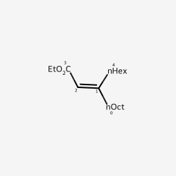 CCCCCCCCC(=CC(=O)OCC)CCCCCC